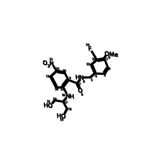 COc1ccc(CNC(=O)c2cc([N+](=O)[O-])ccc2NC(CO)CO)cc1F